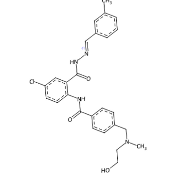 Cc1cccc(/C=N/NC(=O)c2cc(Cl)ccc2NC(=O)c2ccc(CN(C)CCO)cc2)c1